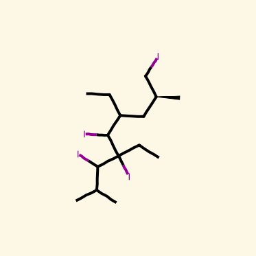 CCC(C[C@H](C)CI)C(I)C(I)(CC)C(I)C(C)C